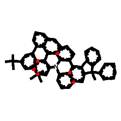 CC(C)(C)c1cc(-c2cccc3cccc(-c4ccccc4N(c4ccccc4)c4ccccc4-c4cccc5c4-c4ccccc4C5(C)c4ccccc4)c23)cc(C(C)(C)C)c1